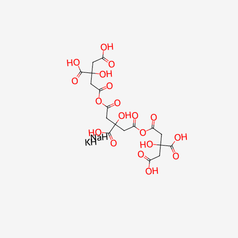 O=C(O)CC(O)(CC(=O)OC(=O)CC(O)(CC(=O)OC(=O)CC(O)(CC(=O)O)C(=O)O)C(=O)O)C(=O)O.[KH].[NaH]